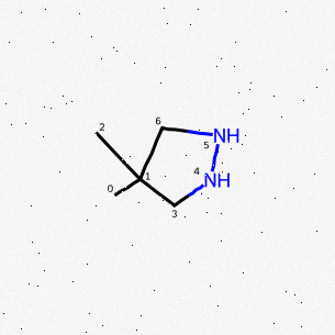 CC1(C)CNNC1